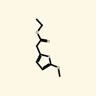 CCOC(=O)Cc1ccc(OC)s1